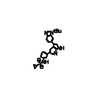 CC(C)(C)n1cnc2ccc(-c3c[nH]c4ncc(-c5cccc(NS(=O)(=O)C6CC6)c5)cc34)cc21